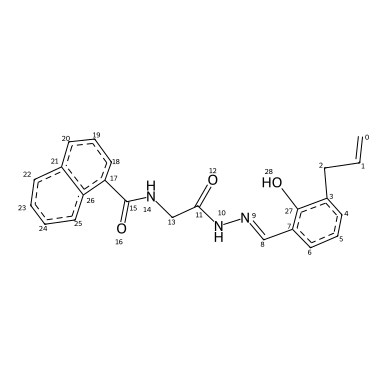 C=CCc1cccc(C=NNC(=O)CNC(=O)c2cccc3ccccc23)c1O